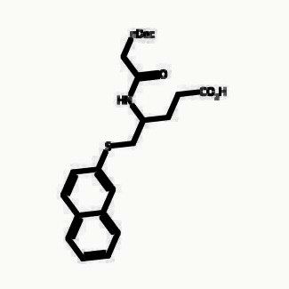 CCCCCCCCCCCC(=O)NC(CCC(=O)O)CSc1ccc2ccccc2c1